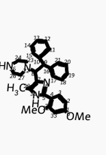 COc1ccc(-c2nc(C(C(c3ccccc3)c3ccccc3)N3CCNCC3)c(C)[nH]2)c(OC)c1